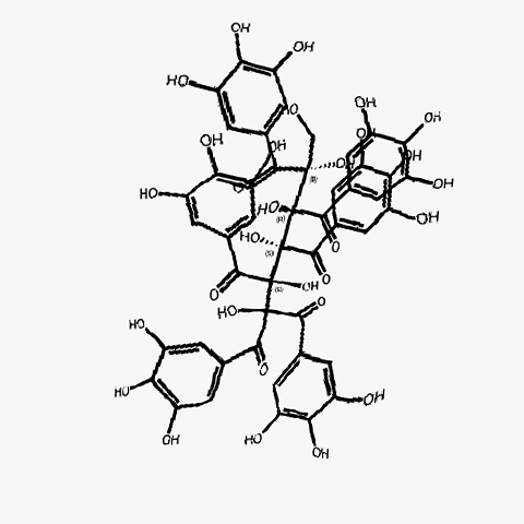 O=C(c1cc(O)c(O)c(O)c1)C(O)(C(=O)c1cc(O)c(O)c(O)c1)[C@](O)(C(=O)c1cc(O)c(O)c(O)c1)[C@](O)(C(=O)c1cc(O)c(O)c(O)c1)[C@@](O)(C(=O)c1cc(O)c(O)c(O)c1)[C@](O)(CO)C(=O)c1cc(O)c(O)c(O)c1